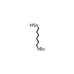 CCCCCCCCC[CH2][SnH]